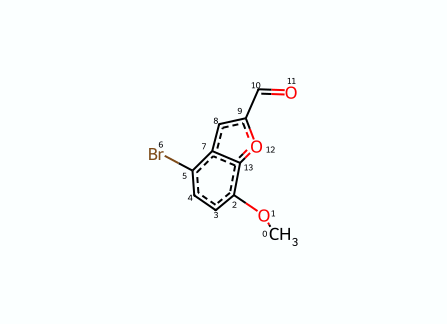 COc1ccc(Br)c2cc(C=O)oc12